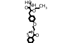 CCCOC(Cc1ccc(OCCN2CSc3ccccc3C2=O)cc1)C(=O)NO